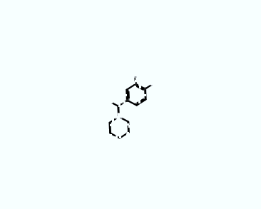 CCC(c1ccc(Cl)c(Cl)c1)N1CCCCC1